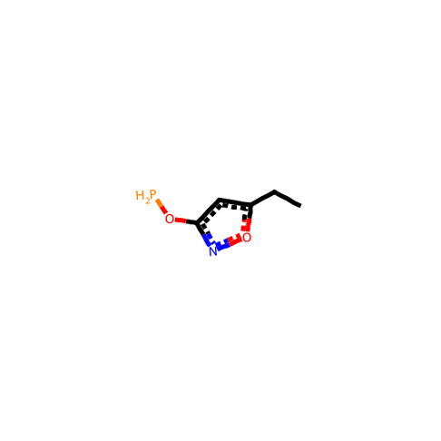 CCc1cc(OP)no1